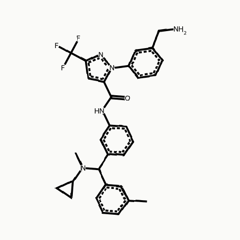 Cc1cccc(C(c2cccc(NC(=O)c3cc(C(F)(F)F)nn3-c3cccc(CN)c3)c2)N(C)C2CC2)c1